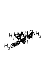 C=CC(=O)Nc1cc(-c2c(-c3ccc(N4CCN(C)CC4)cc3)[nH]c3ncc(C(=O)NCc4cccc(C(N)=O)c4)cc23)ccc1C